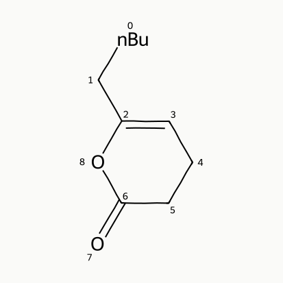 CCCCCC1=CCCC(=O)O1